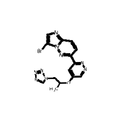 C[C@@H](Cn1cnnn1)Oc1cnnc(-c2ccc3ncc(Br)n3n2)c1